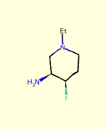 CCN1CC[C@@H](F)[C@@H](N)C1